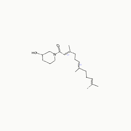 CC(C)=CCC/C(C)=C/CC/C(C)=C/C(=O)N1CCCC(O)C1